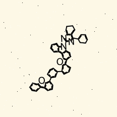 C1=CCCC(c2nc(-n3c4ccccc4c4c5oc6c(-c7cccc(-c8cccc9c8oc8ccccc89)c7)cccc6c5ccc43)nc3c2=CCCC=3)=C1